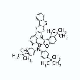 CC(C)(C)c1ccc(N2B3c4oc5ccc(C(C)(C)C)cc5c4-n4c5cc6sc7ccccc7c6cc5c5ccc(c3c54)-c3cc(C(C)(C)C)ccc32)cc1